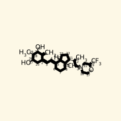 C=C1/C(=C\C=C2/CCC[C@]3(C)[C@@H](C(C)CN4CCOC(C(F)(F)F)C4)CC[C@@H]23)C[C@@H](O)[C@H](C)[C@@H]1O